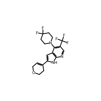 FC1(F)CCN(c2c(C(F)(F)F)cnc3[nH]c(C4=CCOCC4)cc23)CC1